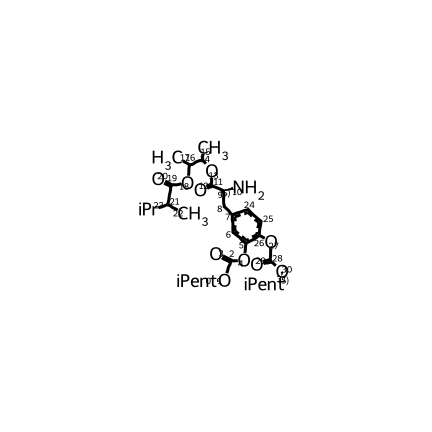 CCCC(C)OC(=O)Oc1cc(C[C@H](N)C(=O)OC(C)C(C)OC(=O)C(C)C(C)C)ccc1OC(=O)O[C@@H](C)CCC